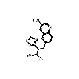 CCC[C@H](C(C)=O)[C@H](Cc1ccc2ncc(N)cc2c1)c1nnn[nH]1